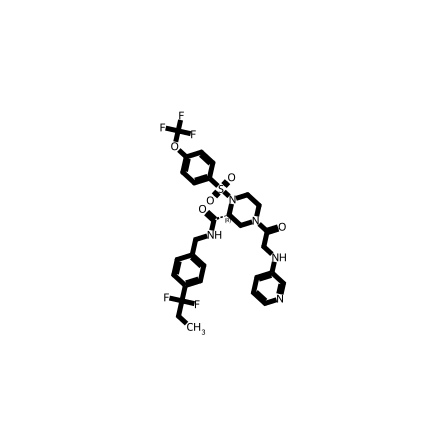 CCC(F)(F)c1ccc(CNC(=O)[C@H]2CN(C(=O)CNc3cccnc3)CCN2S(=O)(=O)c2ccc(OC(F)(F)F)cc2)cc1